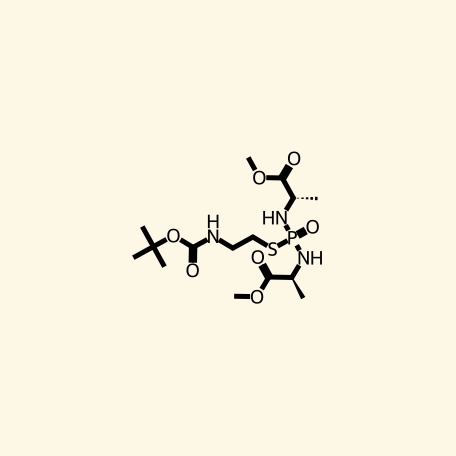 COC(=O)[C@H](C)NP(=O)(N[C@@H](C)C(=O)OC)SCCNC(=O)OC(C)(C)C